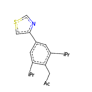 CC(=O)Cc1c(C(C)C)cc(-c2cscn2)cc1C(C)C